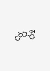 Oc1ccccc1-c1ccc2sc3ccccc3c2c1